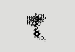 CC(C)(F)C1C(=O)NC1C(C)(C(=O)C(=O)OCc1ccc([N+](=O)[O-])cc1)[Si](C)(C)C(C)(C)C